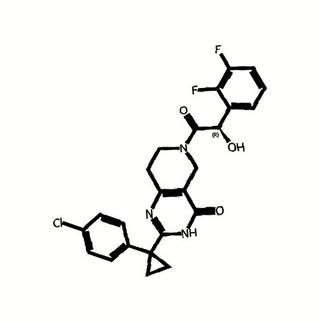 O=C([C@H](O)c1cccc(F)c1F)N1CCc2nc(C3(c4ccc(Cl)cc4)CC3)[nH]c(=O)c2C1